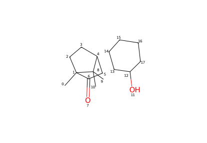 CC12CCC(CC1=O)C2(C)C.OC1CCCCC1